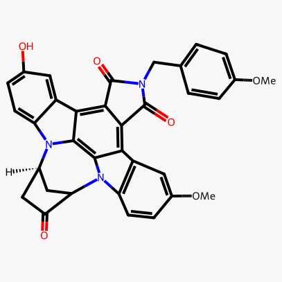 COc1ccc(CN2C(=O)c3c(c4c5cc(O)ccc5n5c4c4c3c3cc(OC)ccc3n4C3C[C@H]5CC3=O)C2=O)cc1